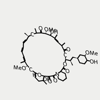 CO[C@H]1C[C@@H]2CCC(C)C(O)(O2)C(=O)C(=O)N2CCCCC2C(=O)O[C@H]([C@H](C)C[C@@H]2CCC(O)[C@H](OC)C2)CC(=O)C(C)/C=C(\C)C(O)[C@@H](OC)C(=O)C(C)C[C@H](C)/C=C/C=C/C=C/1C